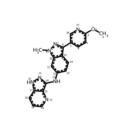 COc1ccc(-c2nn(C)c3cc(Nc4n[nH]c5cccnc45)ccc23)cn1